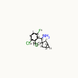 CC1(C(N)c2c(F)ccc(Cl)c2Cl)CC2CC2C1